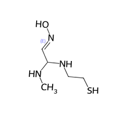 CNC(/C=N/O)NCCS